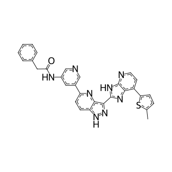 Cc1ccc(-c2ccnc3[nH]c(-c4n[nH]c5ccc(-c6cncc(NC(=O)Cc7ccccc7)c6)nc45)nc23)s1